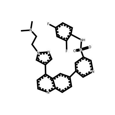 CN(C)CCn1cc(-c2ccnc3ccc(-c4cncc(S(=O)(=O)Nc5ccc(F)cc5F)c4)cc23)cn1